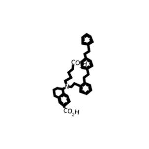 O=C(O)CCCCN(CCc1ccccc1CCc1ccc(CCc2ccccc2)cc1)C1CCCc2cc(C(=O)O)ccc21